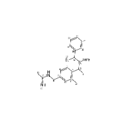 CCCN(C(C)c1ccc(CNC(C)=N)cc1C)C(CC)c1ccccc1